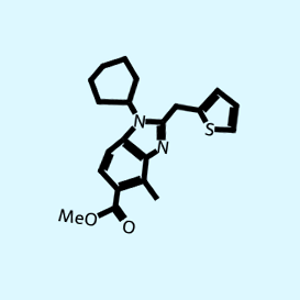 COC(=O)c1ccc2c(nc(Cc3cccs3)n2C2CCCCC2)c1C